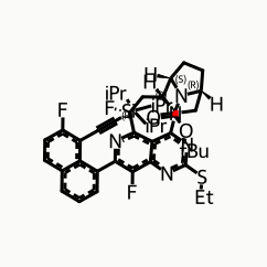 CCSc1nc2c3c(nc(-c4cccc5ccc(F)c(C#C[Si](C(C)C)(C(C)C)C(C)C)c45)c(F)c3n1)[C@H](F)C[C@@H]1[C@@H]3CC[C@H](CN21)N3C(=O)OC(C)(C)C